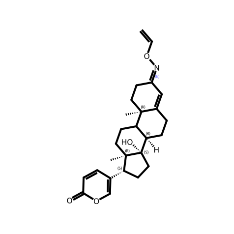 C=CO/N=C1/C=C2CC[C@@H]3C(CC[C@]4(C)[C@@H](c5ccc(=O)oc5)CC[C@]34O)[C@@]2(C)CC1